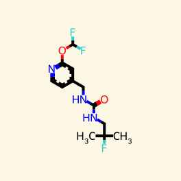 CC(C)(F)CNC(=O)NCc1ccnc(OC(F)F)c1